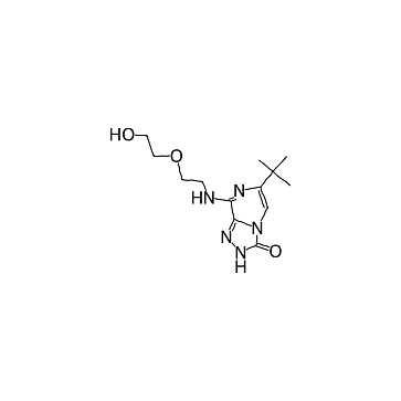 CC(C)(C)c1cn2c(=O)[nH]nc2c(NCCOCCO)n1